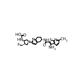 Cc1ccc2c(N)c(C(=O)N[C@H]3CCc4nc(N5C[C@@H](CF)[C@@H](NC(=O)O)C5)ccc4C3)sc2n1